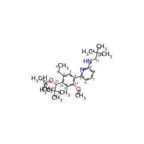 CCc1cc(-c2cccc(NCC(C)(C)C)n2)c(OC)cc1C(O[SiH](C)C)C(C)(C)C